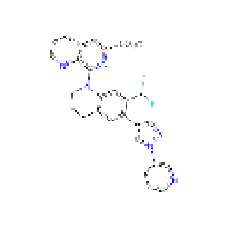 CCOC(=O)c1cc2cccnc2c(N2CCCc3cc(-c4cnn(-c5cccnc5)c4)c(C(F)F)cc32)n1